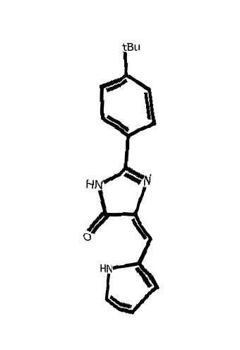 CC(C)(C)c1ccc(C2=NC(=Cc3ccc[nH]3)C(=O)N2)cc1